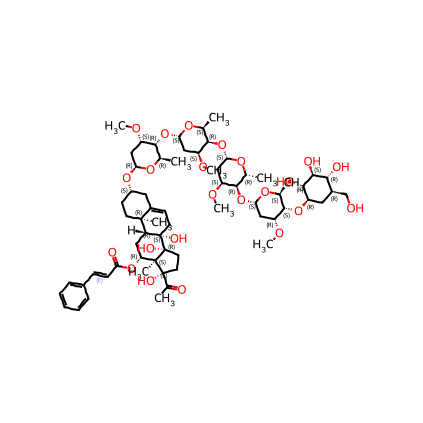 CO[C@H]1C[C@H](O[C@H]2[C@@H](OC)C[C@H](O[C@H]3CC[C@@]4(C)C(=CC[C@]5(O)[C@@H]4C[C@@H](OC(=O)/C=C/c4ccccc4)[C@@]4(C)[C@]5(O)CC[C@@]4(O)C(C)=O)C3)O[C@@H]2C)O[C@@H](C)[C@H]1O[C@H]1C[C@H](OC)[C@H](O[C@H]2C[C@@H](OC)[C@@H](O[C@@H]3C[C@H](CO)[C@@H](O)[C@H](O)[C@H]3O)[C@H](C)O2)[C@@H](C)O1